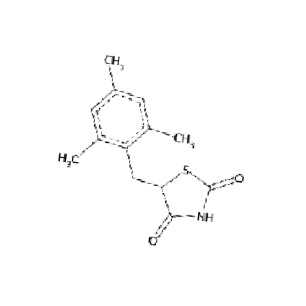 Cc1cc(C)c(CC2SC(=O)NC2=O)c(C)c1